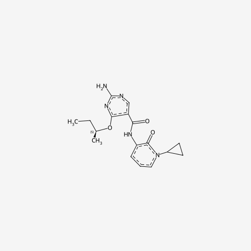 CC[C@H](C)Oc1nc(N)ncc1C(=O)Nc1cccn(C2CC2)c1=O